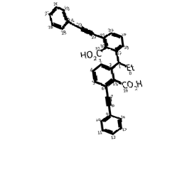 CCC(c1cccc(C#Cc2ccccc2)c1C(=O)O)c1cccc(C#Cc2ccccc2)c1C(=O)O